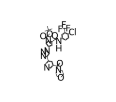 CC(C)(C)OC(=O)n1cc(-n2cc(-c3cncc(C(=O)N4CCOCC4)c3)nn2)cc1C(=O)Nc1ccc(Cl)c(C(F)(F)F)c1